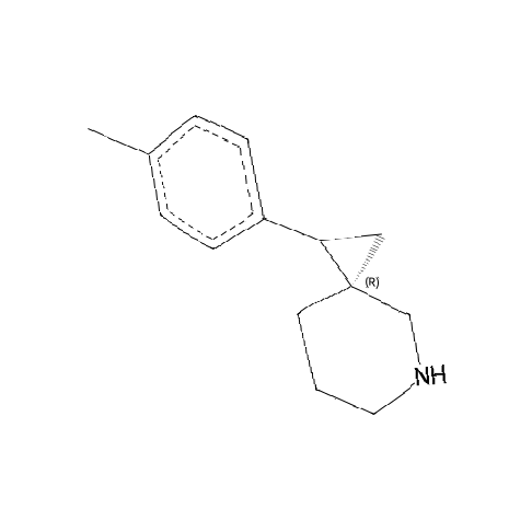 Cc1ccc(C2C[C@]23CCCNC3)cc1